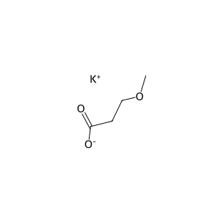 COCCC(=O)[O-].[K+]